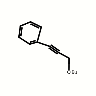 CC(C)COCC#Cc1ccccc1